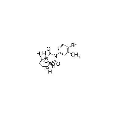 Cc1cc(N2C(=O)[C@@H]3[C@H]4CC[C@H](C(=O)C4)[C@@H]3C2=O)ccc1Br